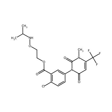 CC(C)NOCCOC(=O)c1cc(-n2c(=O)cc(C(F)(F)F)n(C)c2=O)ccc1Cl